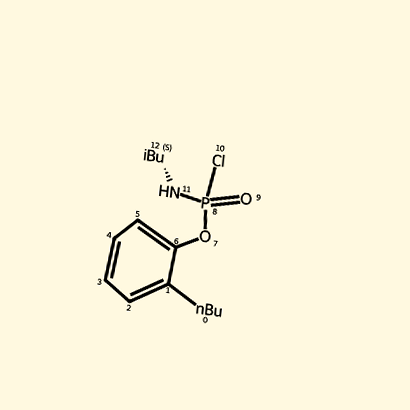 CCCCc1ccccc1OP(=O)(Cl)N[C@@H](C)CC